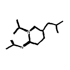 CC(C)CC1CC/C(=N/C(C)C)N(C(C)C)C1